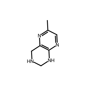 Cc1cnc2c(n1)CNCN2